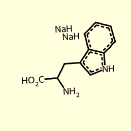 NC(Cc1c[nH]c2ccccc12)C(=O)O.[NaH].[NaH]